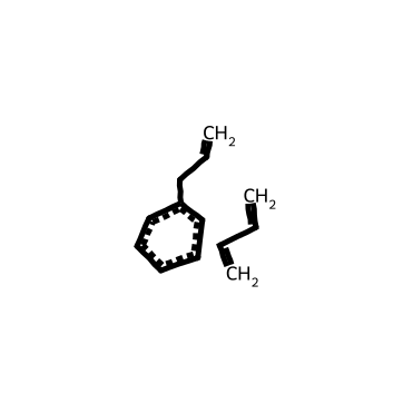 C=CC=C.C=CCc1ccccc1